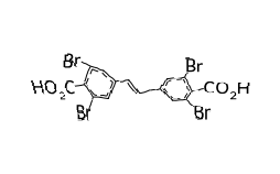 O=C(O)c1c(Br)cc(C=Cc2cc(Br)c(C(=O)O)c(Br)c2)cc1Br